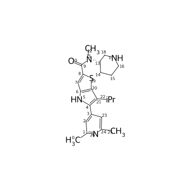 Cc1cc(-c2[nH]c3cc(C(=O)N(C)[C@H]4CCCNC4)sc3c2C(C)C)cc(C)n1